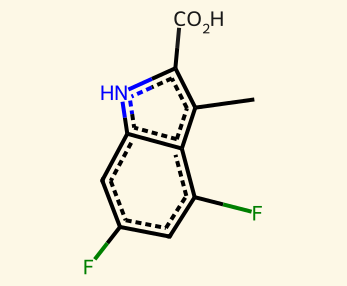 Cc1c(C(=O)O)[nH]c2cc(F)cc(F)c12